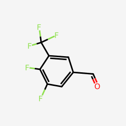 O=Cc1cc(F)c(F)c(C(F)(F)F)c1